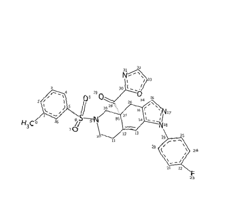 Cc1cccc(S(=O)(=O)N2CCC3=Cc4c(cnn4-c4ccc(F)cc4)C[C@]3(C(=O)c3ncco3)C2)c1